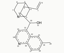 C=CC1C2CCN(CC2)C1C(O)c1ccnc2ccc(C)cc12